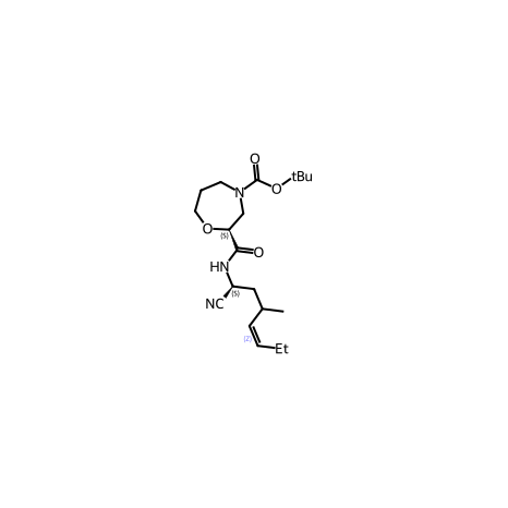 CC/C=C\C(C)C[C@@H](C#N)NC(=O)[C@@H]1CN(C(=O)OC(C)(C)C)CCCO1